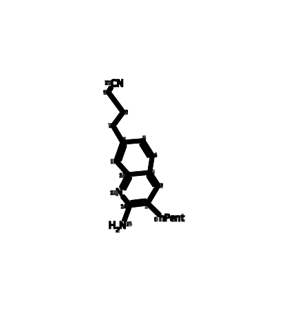 CCCCCc1cc2ccc(CCCC#N)cc2nc1N